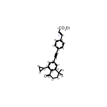 CCOC(=O)/C=C/c1ccc(C#Cc2cc(C3CC3)c3c(c2)C(C)(C)CCC3=O)cc1